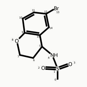 CS(=O)(=O)NC1CCOc2ccc(Br)cc21